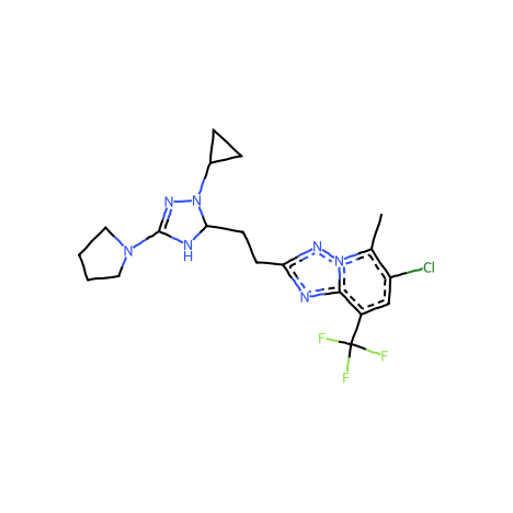 Cc1c(Cl)cc(C(F)(F)F)c2nc(CCC3NC(N4CCCC4)=NN3C3CC3)nn12